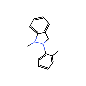 Cc1ccccc1N1Cc2ccccc2N1C